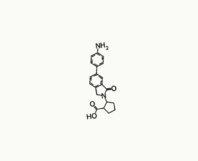 Nc1ccc(-c2ccc3c(c2)C(=O)N(C2CCCC2C(=O)O)C3)cc1